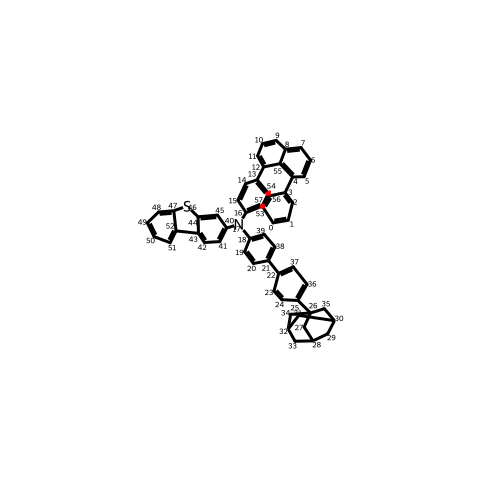 c1ccc(-c2cccc3cccc(-c4ccc(N(c5ccc(-c6ccc(C78CC9CC(CC(C9)C7)C8)cc6)cc5)c5ccc6c(c5)sc5ccccc56)cc4)c23)cc1